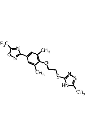 Cc1nnc(SCCOc2c(C)cc(-c3noc(C(F)(F)F)n3)cc2C)[nH]1